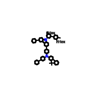 CCCCCCc1cc(-c2cc(C)cc(-n3c4ccc(-c5ccccc5)cc4c4cc(-c5ccc(N(c6ccc(-c7ccccc7)cc6)c6ccc7c(c6)C(C)(C)c6ccccc6-7)cc5)ccc43)c2)c(CCCCCC)cc1C